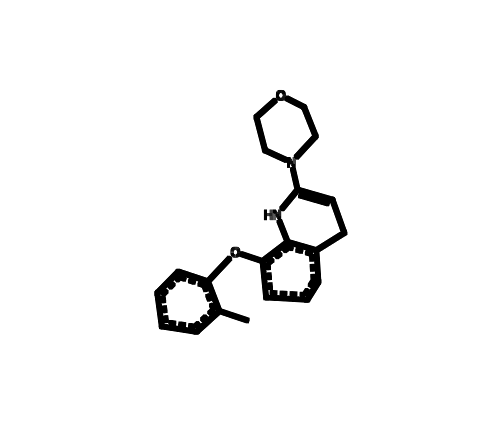 Cc1ccccc1Oc1cccc2c1NC(N1CCOCC1)=CC2